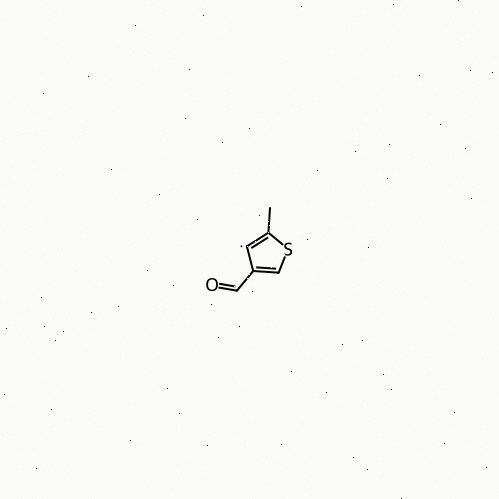 Cc1[c]c(C=O)cs1